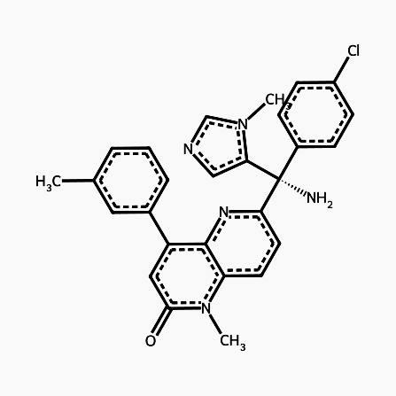 Cc1cccc(-c2cc(=O)n(C)c3ccc([C@](N)(c4ccc(Cl)cc4)c4cncn4C)nc23)c1